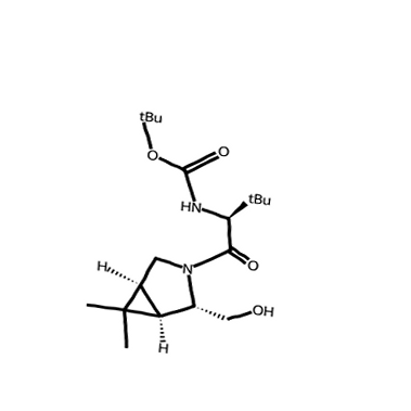 CC(C)(C)OC(=O)N[C@H](C(=O)N1C[C@H]2[C@@H]([C@H]1CO)C2(C)C)C(C)(C)C